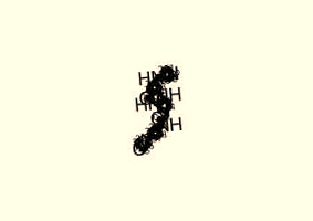 O=C(Cc1ccc2c(c1)NC(=O)c1ccc(Nc3ccncc3)cc1N2)Nc1ccc(N2CCOCC2)cc1